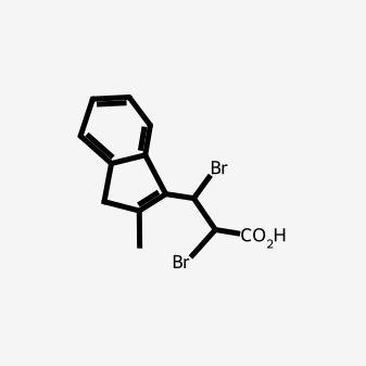 CC1=C(C(Br)C(Br)C(=O)O)c2ccccc2C1